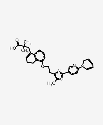 Cc1oc(-c2ccc(N3C=CC=CC3)nc2)nc1CCOc1cccc2c1CCC=C2CC(C)(C)C(=O)O